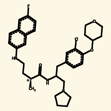 C[C@@H](CCNc1ccc2cc(F)ccc2c1)C(=O)NC(Cc1ccc(OC2CCOCC2)c(Cl)c1)CN1CCCC1